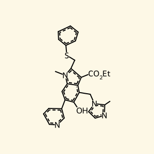 CCOC(=O)c1c(CSc2ccccc2)n(C)c2cc(-c3cccnc3)c(O)c(Cn3ccnc3C)c12